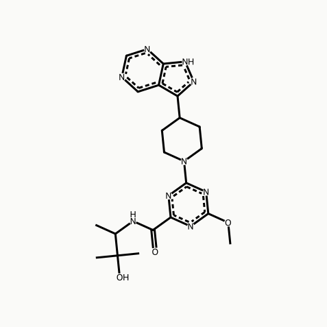 COc1nc(C(=O)NC(C)C(C)(C)O)nc(N2CCC(c3n[nH]c4ncncc34)CC2)n1